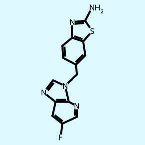 Nc1nc2ccc(Cn3cnc4cc(F)cnc43)cc2s1